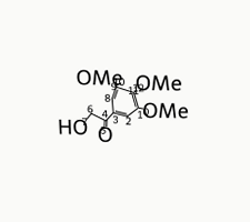 COc1cc(C(=O)CO)cc(OC)c1OC